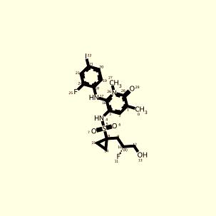 Cc1cc(NS(=O)(=O)C2(C[C@@H](F)CO)CC2)c(Nc2ccc(I)cc2F)n(C)c1=O